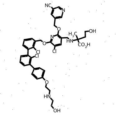 CC(CCO)(NCc1cc(Cl)c(OCc2cccc(-c3cccc(-c4ccc(OCCNCCO)cc4)c3Cl)c2Cl)nc1OCc1cncc(C#N)c1)C(=O)O